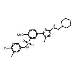 COc1ccc(-c2sc(NCC3CCCCC3)nc2C)cc1S(=O)(=O)Nc1cnc(Cl)c(C)c1